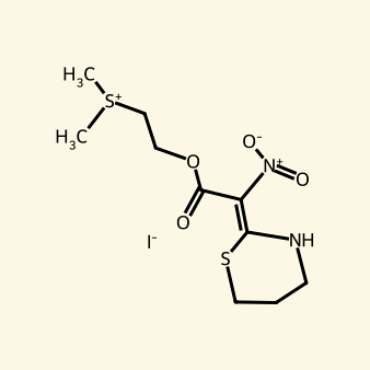 C[S+](C)CCOC(=O)/C(=C1/NCCCS1)[N+](=O)[O-].[I-]